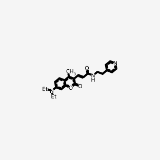 CCN(CC)c1ccc2c(C)c(/C=C/C(=O)NCCc3ccncc3)c(=O)oc2c1